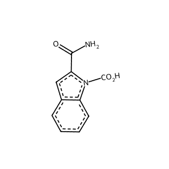 NC(=O)c1cc2ccccc2n1C(=O)O